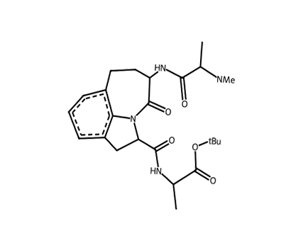 CNC(C)C(=O)NC1CCc2cccc3c2N(C1=O)C(C(=O)NC(C)C(=O)OC(C)(C)C)C3